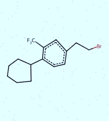 FC(F)(F)c1cc(CCBr)ccc1C1CCCCC1